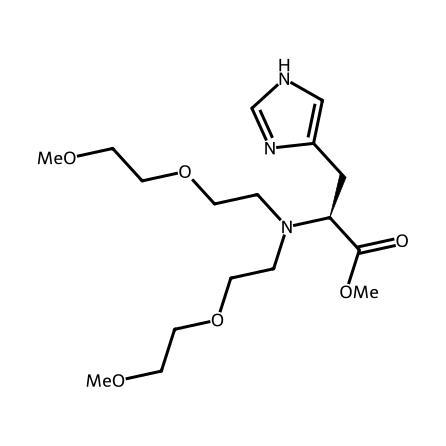 COCCOCCN(CCOCCOC)[C@@H](Cc1c[nH]cn1)C(=O)OC